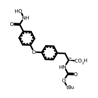 CC(C)(C)OC(=O)N[C@@H](Cc1ccc(Oc2ccc(C(=O)NO)cc2)cc1)C(=O)O